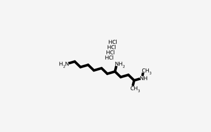 CNC(C)CCC(N)CCCCCCN.Cl.Cl.Cl.Cl